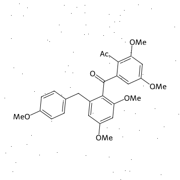 COc1ccc(Cc2cc(OC)cc(OC)c2C(=O)c2cc(OC)cc(OC)c2C(C)=O)cc1